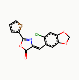 O=C1OC(c2cccs2)=N/C1=C\c1cc2c(cc1Cl)OCO2